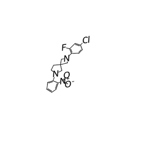 O=[N+]([O-])c1ccccc1N1CCC2(CN(c3ccc(Cl)cc3F)C2)C1